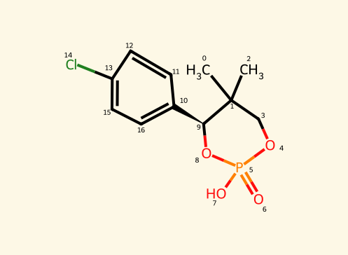 CC1(C)COP(=O)(O)O[C@H]1c1ccc(Cl)cc1